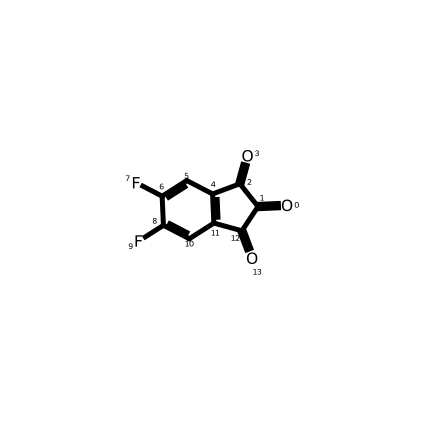 O=c1c(=O)c2cc(F)c(F)cc2c1=O